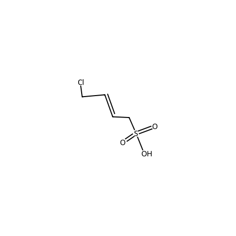 O=S(=O)(O)CC=CCCl